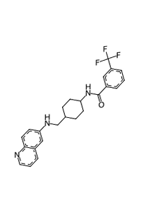 O=C(NC1CCC(CNc2ccc3ncccc3c2)CC1)c1cccc(C(F)(F)F)c1